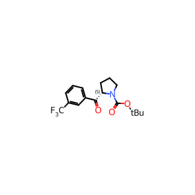 CC(C)(C)OC(=O)N1CCC[C@H]1C(=O)c1cccc(C(F)(F)F)c1